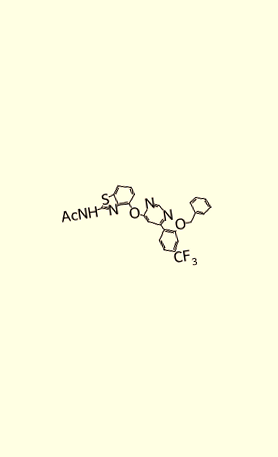 CC(=O)Nc1nc2c(Oc3cc(-c4ccc(C(F)(F)F)cc4OCc4ccccc4)ncn3)cccc2s1